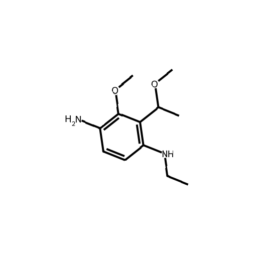 CCNc1ccc(N)c(OC)c1C(C)OC